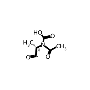 CC(=O)N(C(=O)O)[C@@H](C)[C]=O